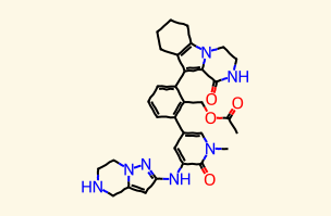 CC(=O)OCc1c(-c2cc(Nc3cc4n(n3)CCNC4)c(=O)n(C)c2)cccc1-c1c2c(n3c1C(=O)NCC3)CCCC2